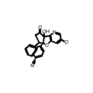 N#Cc1ccc(C23Oc4cc(Cl)cnc4C2(O)C(=O)CC3c2ccccc2)cc1